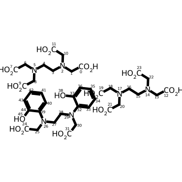 O=C(O)CN(CCN(CC(=O)O)CC(=O)O)CC(=O)O.O=C(O)CN(CCN(CC(=O)O)CC(=O)O)CC(=O)O.O=C(O)CN(CCN(CC(=O)O)c1ccccc1O)c1ccccc1O